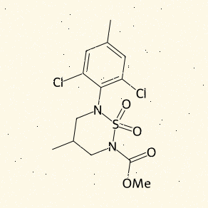 COC(=O)N1CC(C)CN(c2c(Cl)cc(C)cc2Cl)S1(=O)=O